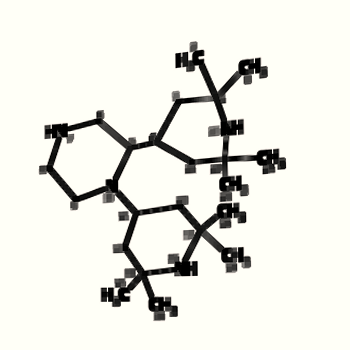 CC1(C)CC(C2CNCCN2C2CC(C)(C)NC(C)(C)C2)CC(C)(C)N1